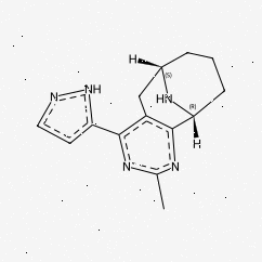 Cc1nc(-c2ccn[nH]2)c2c(n1)[C@H]1CCC[C@@H](C2)N1